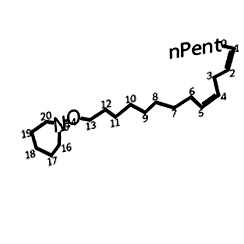 CCCCC/C=C\C/C=C\CCCCCCCCON1CCCCC1